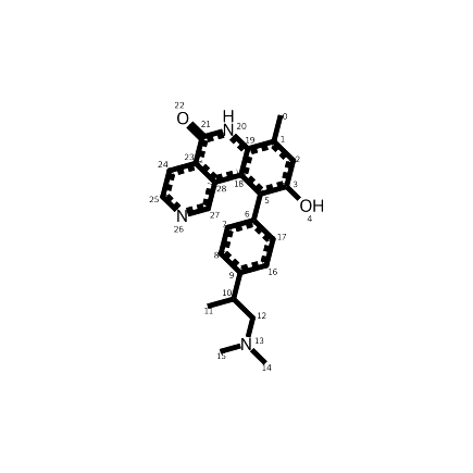 Cc1cc(O)c(-c2ccc(C(C)CN(C)C)cc2)c2c1[nH]c(=O)c1ccncc12